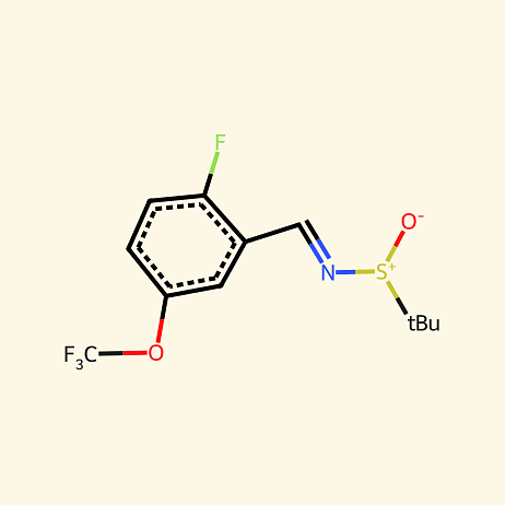 CC(C)(C)[S+]([O-])/N=C/c1cc(OC(F)(F)F)ccc1F